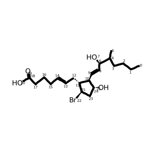 CCCCC(C)[C@H](O)C=C[C@@H]1[C@@H](CC=CCCCC(=O)O)[C@H](Br)C[C@H]1O